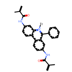 C=C(C)C(=O)Nc1ccc2c(c1)c(-c1ccccc1)[n+](CC)c1cc(NC(=O)C(=C)C)ccc21